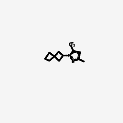 Cc1cc(C(F)(F)F)n(C2CC3(CCC3)C2)n1